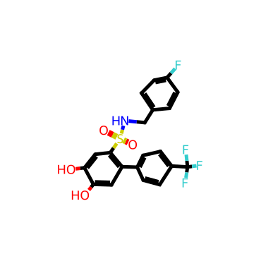 O=S(=O)(NCc1ccc(F)cc1)c1cc(O)c(O)cc1-c1ccc(C(F)(F)F)cc1